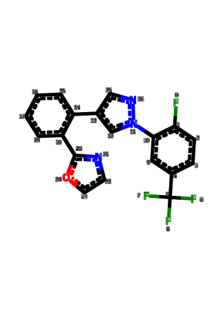 Fc1ccc(C(F)(F)F)cc1-n1cc(-c2ccccc2-c2ncco2)cn1